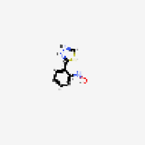 O=Nc1ccccc1-c1nncs1